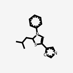 CC(C)CC1SC(c2cnco2)=[C]N1c1ccccc1